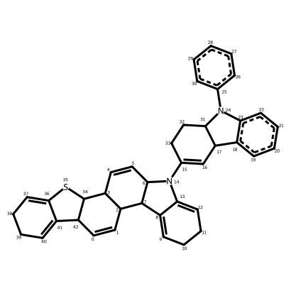 C1=CC2C(C=CC3C2C2=CCCC=C2N3C2=CC3c4ccccc4N(c4ccccc4)C3CC2)C2SC3=CCCC=C3C12